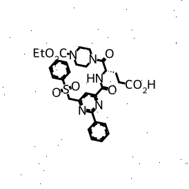 CCOC(=O)N1CCN(C(=O)[C@H](CCC(=O)O)NC(=O)c2cc(CS(=O)(=O)c3ccccc3)nc(-c3ccccc3)n2)CC1